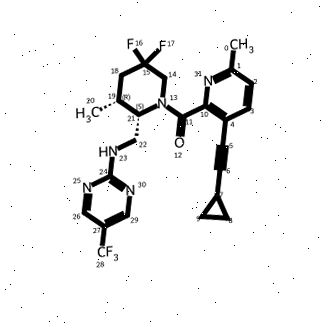 Cc1ccc(C#CC2CC2)c(C(=O)N2CC(F)(F)C[C@@H](C)[C@H]2CNc2ncc(C(F)(F)F)cn2)n1